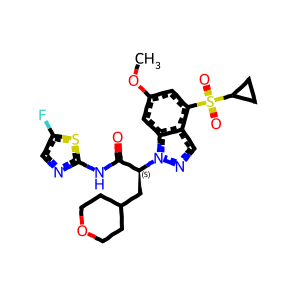 COc1cc(S(=O)(=O)C2CC2)c2cnn([C@@H](CC3CCOCC3)C(=O)Nc3ncc(F)s3)c2c1